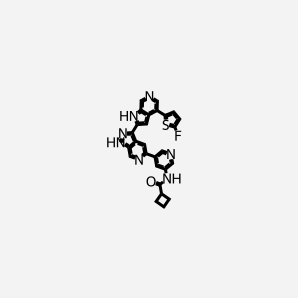 O=C(Nc1cncc(-c2cc3c(-c4cc5c(-c6ccc(F)s6)cncc5[nH]4)n[nH]c3cn2)c1)C1CCC1